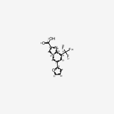 O=C(O)c1cn2cc(-c3ccco3)cc(C(F)(F)F)c2n1